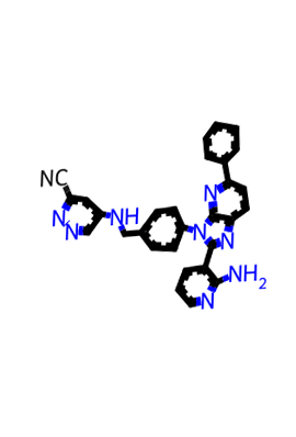 N#Cc1cc(NCc2ccc(-n3c(-c4cccnc4N)nc4ccc(-c5ccccc5)nc43)cc2)cnn1